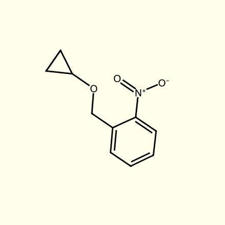 O=[N+]([O-])c1ccccc1COC1CC1